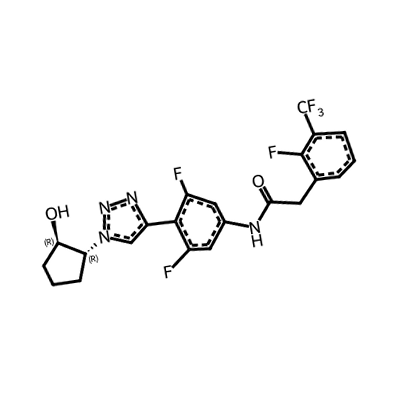 O=C(Cc1cccc(C(F)(F)F)c1F)Nc1cc(F)c(-c2cn([C@@H]3CCC[C@H]3O)nn2)c(F)c1